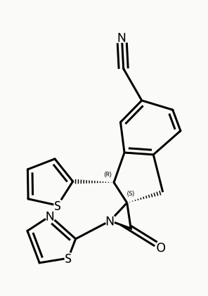 N#Cc1ccc2c(c1)[C@@H](c1cccs1)[C@@]1(C2)C(=O)N1c1nccs1